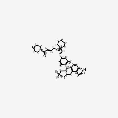 C[C@@H]1Cc2c(ccc3[nH]ncc23)[C@@H](c2c(F)cc(OCC3(NC/C=C/C(=O)N4CCOCC4)CCCCC3)cc2F)N1CC(F)(F)F